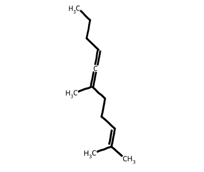 CCCC=C=C(C)CCC=C(C)C